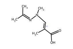 CC(C)=NN(C)/C=C(\C)C(=O)O